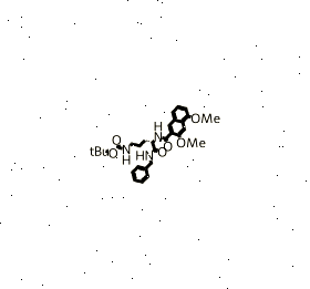 COc1cc2c(OC)cccc2cc1C(=O)N[C@@H](CCCNC(=O)OC(C)(C)C)C(=O)NCc1ccccc1